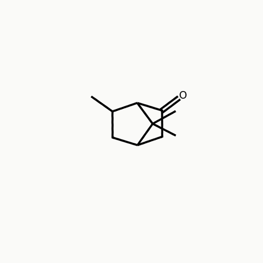 CC1CC2CC(=O)C1C2(C)C